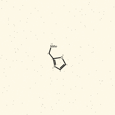 C[N]Cc1ncco1